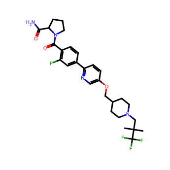 CC(C)(CN1CCC(COc2ccc(-c3ccc(C(=O)N4CCCC4C(N)=O)c(F)c3)nc2)CC1)C(F)(F)F